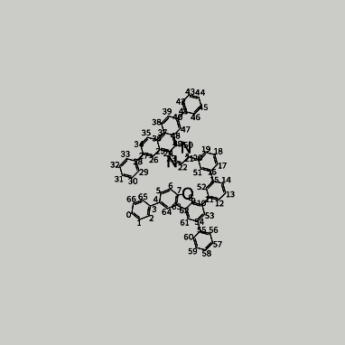 c1ccc(-c2ccc3oc4c(-c5cccc(-c6cccc(-c7cnc8c9cc(-c%10ccccc%10)ccc9c9ccc(-c%10ccccc%10)cc9c8n7)c6)c5)cc(-c5ccccc5)cc4c3c2)cc1